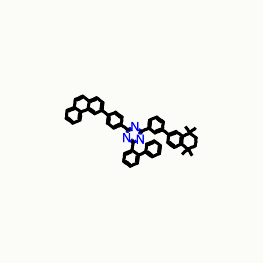 CC1(C)CCC(C)(C)c2cc(-c3cccc(-c4nc(-c5ccc(-c6ccc7ccc8ccccc8c7c6)cc5)nc(-c5ccccc5-c5ccccc5)n4)c3)ccc21